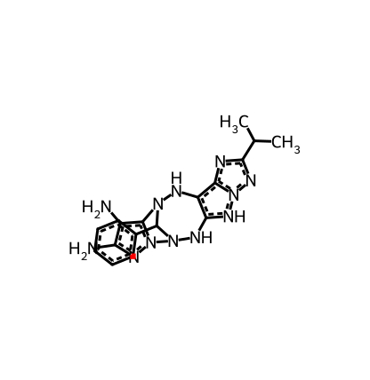 CC(C)c1nc2c3c([nH]n2n1)NN1C(c2ccccc2)N(N3)c2c(N)c(N)nn21